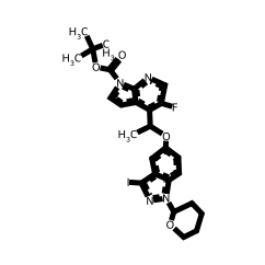 CC(Oc1ccc2c(c1)c(I)nn2C1CCCCO1)c1c(F)cnc2c1ccn2C(=O)OC(C)(C)C